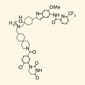 COc1cc2c(cc1NC(=O)c1cccc(C(F)(F)F)n1)=CC(C1CCC(O)(CN(C)CC3CCC4(CC3)CCN(C(=O)c3ccc(Cl)c(N5CCC(=O)NC5=O)c3)CC4)CC1)N=2